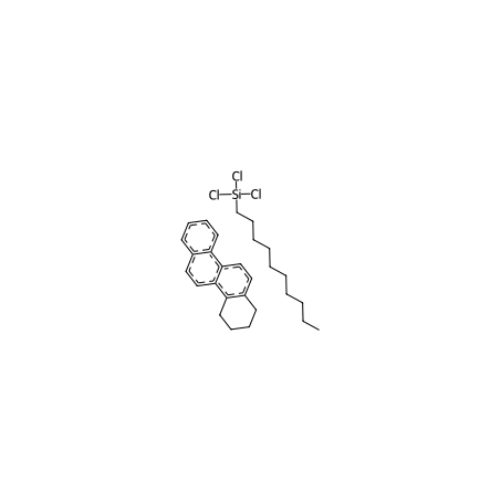 CCCCCCCCCC[Si](Cl)(Cl)Cl.c1ccc2c(c1)ccc1c3c(ccc12)CCCC3